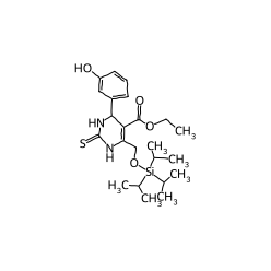 CCOC(=O)C1=C(CO[Si](C(C)C)(C(C)C)C(C)C)NC(=S)NC1c1cccc(O)c1